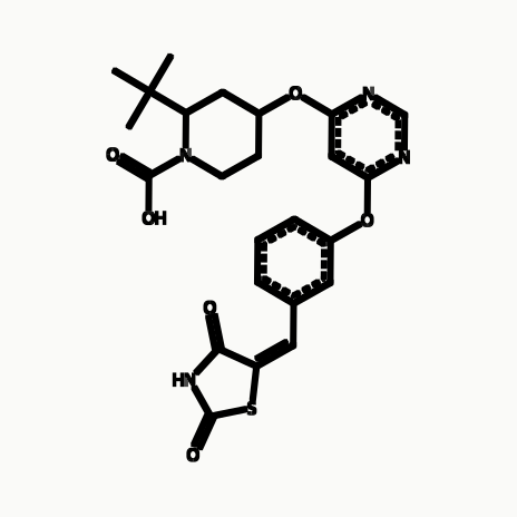 CC(C)(C)C1CC(Oc2cc(Oc3cccc(C=C4SC(=O)NC4=O)c3)ncn2)CCN1C(=O)O